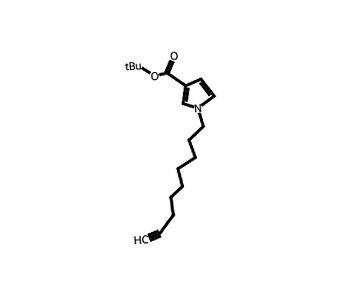 C#CCCCCCCCn1ccc(C(=O)OC(C)(C)C)c1